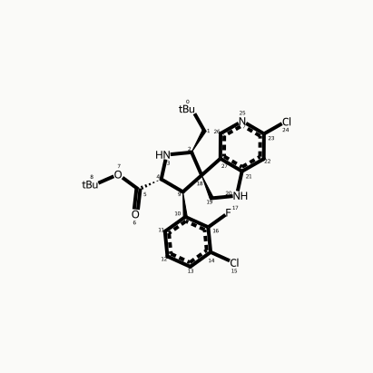 CC(C)(C)C[C@@H]1N[C@@H](C(=O)OC(C)(C)C)[C@H](c2cccc(Cl)c2F)[C@]12CNc1cc(Cl)ncc12